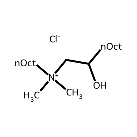 CCCCCCCCC(O)C[N+](C)(C)CCCCCCCC.[Cl-]